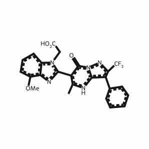 COc1cccc2c1nc(-c1c(C)[nH]c3c(-c4ccccc4)c(C(F)(F)F)nn3c1=O)n2CC(=O)O